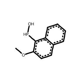 COc1ccc2ccccc2c1PO